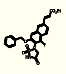 CCOC(=O)/C=C/c1ccc2c(F)c(N3CC(=O)NS3(=O)=O)c(OCc3ccccc3)cc2c1